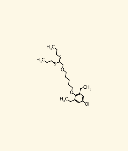 CCCSC(COCCCCCOc1c(CC)cc(O)cc1CC)SCCC